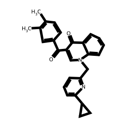 Cc1ccc(C(=O)c2cn(Cc3cccc(C4CC4)n3)c3ccccc3c2=O)cc1C